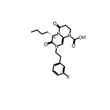 CCCC[C@H]1C(=O)N(CCc2cccc(F)c2)C=C2N(C(=O)O)CCC(=O)N21